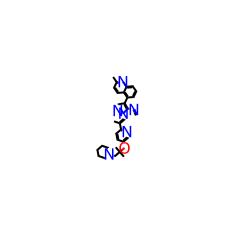 C=Nc1c(-c2cccc3nc(C)ccc23)cnn1/C=C(\C)c1ccc(OC(C)(C)CN2CCCCC2)cn1